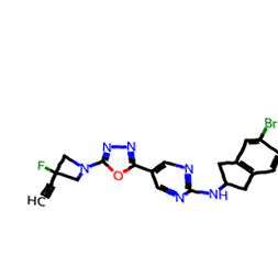 C#CC1(F)CN(c2nnc(-c3cnc(NC4Cc5ccc(Br)cc5C4)nc3)o2)C1